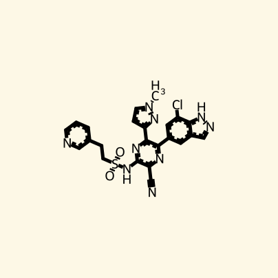 Cn1ccc(-c2nc(NS(=O)(=O)CCc3cccnc3)c(C#N)nc2-c2cc(Cl)c3[nH]ncc3c2)n1